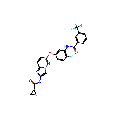 O=C(Nc1cc(Oc2ccc3nc(NC(=O)C4CC4)cn3n2)ccc1F)c1cccc(C(F)(F)F)c1